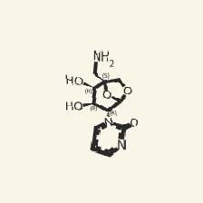 NC[C@@]12COC(O1)[C@H](n1cccnc1=O)[C@@H](O)[C@H]2O